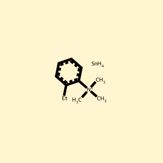 CCc1ccccc1[N+](C)(C)C.[SnH4]